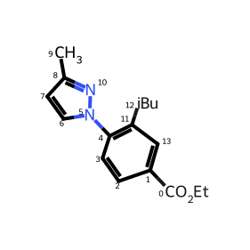 CCOC(=O)c1ccc(-n2ccc(C)n2)c(C(C)CC)c1